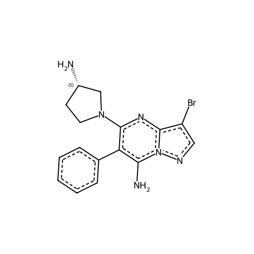 Nc1c(-c2ccccc2)c(N2CC[C@H](N)C2)nc2c(Br)cnn12